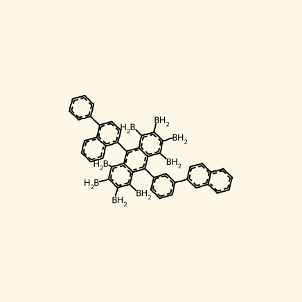 Bc1c(B)c(B)c2c(-c3ccc(-c4ccccc4)c4ccccc34)c3c(B)c(B)c(B)c(B)c3c(-c3cccc(-c4ccc5ccccc5c4)c3)c2c1B